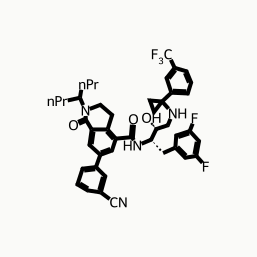 CCCC(CCC)N1CCc2c(C(=O)N[C@@H](Cc3cc(F)cc(F)c3)[C@H](O)CNC3(c4cccc(C(F)(F)F)c4)CC3)cc(-c3cccc(C#N)c3)cc2C1=O